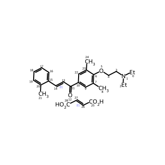 CCN(CC)CCOc1c(C)cc(C(=O)/C=C/c2ccccc2C)cc1C.O=C(O)/C=C/C(=O)O